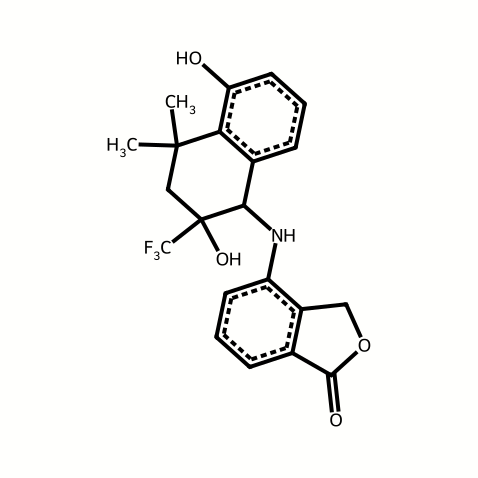 CC1(C)CC(O)(C(F)(F)F)C(Nc2cccc3c2COC3=O)c2cccc(O)c21